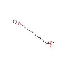 CCOC(=O)C(C)(C)CCCCCCCCCCCCCCCCCCCCOCc1ccccc1